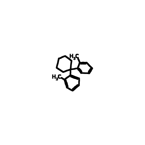 Cc1ccccc1C1(c2ccccc2C)CCCCC1